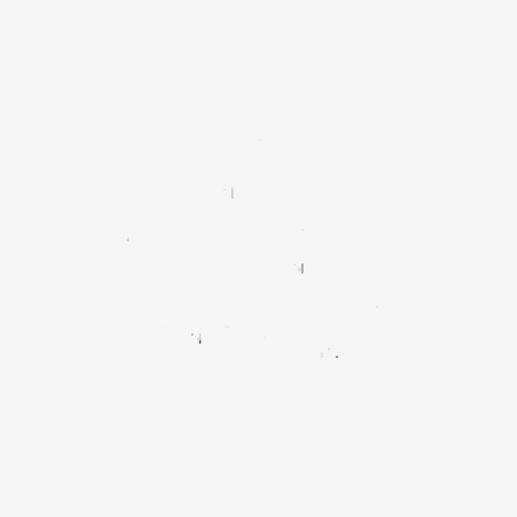 Cc1ccnc(C2=CC3=CC4=NC(=CC5=NC(=CC6=NC(=CC2=N3)C=C6)C=C5)C=C4)c1